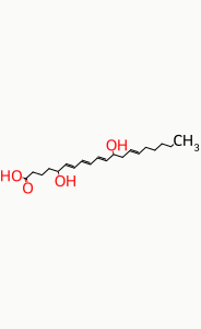 CCCCC/C=C/CC(O)/C=C/C=C/C=C/C(O)CCCC(=O)O